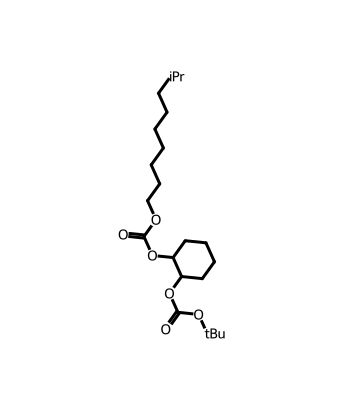 CC(C)CCCCCCCOC(=O)OC1CCCCC1OC(=O)OC(C)(C)C